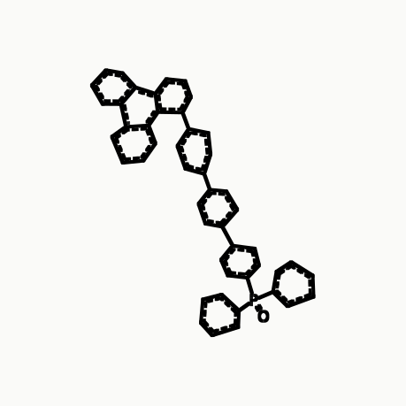 O=P(c1ccccc1)(c1ccccc1)c1ccc(-c2ccc(-c3ccc(-c4cccc5c6ccccc6c6ccccc6c45)cc3)cc2)cc1